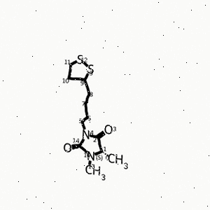 C[C@H]1C(=O)N(CCCCC2CCSS2)C(=O)N1C